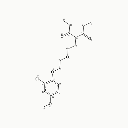 CCC(=O)C(CCOCCOc1ccc(OC)cc1Cl)C(=O)CC